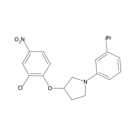 CC(C)c1cccc(N2CCC(Oc3ccc([N+](=O)[O-])cc3Cl)C2)c1